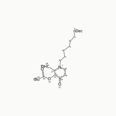 CCCCCCCCCCCCCCCCn1ccc(=O)c(OC(=O)C(C)(C)C)c1C=O